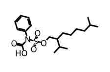 CC(C)CCCCC(COS(=O)(=O)N(C(=O)O)c1ccccc1)C(C)C